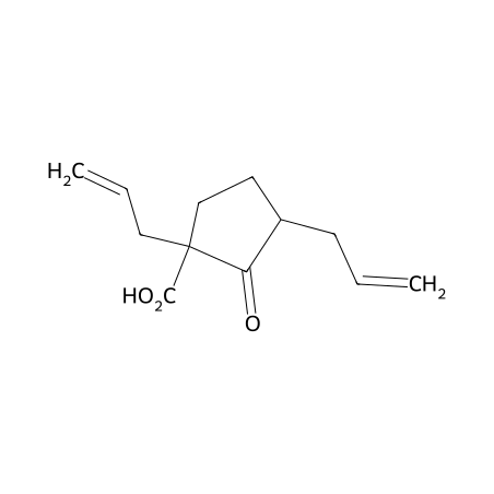 C=CCC1CCC(CC=C)(C(=O)O)C1=O